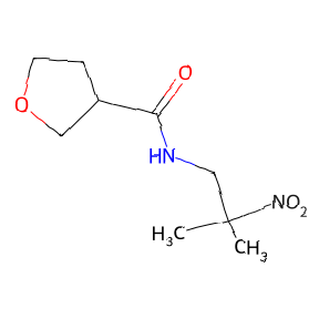 CC(C)(CNC(=O)C1CCOC1)[N+](=O)[O-]